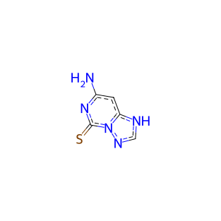 Nc1cc2[nH]cnn2c(=S)n1